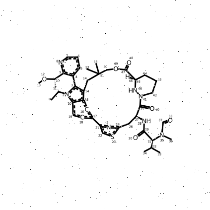 CCn1c(-c2cccnc2[C@H](C)OC)c2c3cc(ccc31)-c1csc(n1)C[C@H](NC(=O)[C@H](C(C)C)N(C)C=O)C(=O)N1CCC[C@H](N1)C(=O)OCC(C)(C)C2